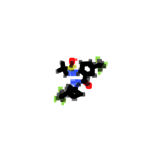 CC(C)(C)[S+]([O-])Nc1ccc(C(F)(F)F)cc1C(=O)NC12CC(C1)C(C(F)(F)F)C2